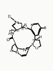 CCN1C[C@@H]2Oc3ncc(F)cc3[C@@H]3CCON3c3ccn4ncc(c4n3)C(=O)N[C@@H]2C1